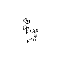 CN(C)C/C=C/C(=O)N1CC[C@@H](C(=O)N2CCC(c3cc4c(-c5cnn6ncccc56)ccnc4[nH]3)CC2)C1